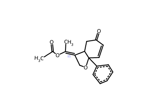 CC(=O)O/C(C)=C1\COC2(c3ccccc3)C=CC(=O)CC12